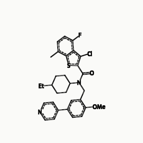 CCC1CCC(N(Cc2cc(-c3ccncc3)ccc2OC)C(=O)c2sc3c(C)ccc(F)c3c2Cl)CC1